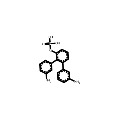 Nc1cccc(-c2cccc(OP(=O)(O)O)c2-c2cccc(N)c2)c1